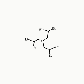 CCC([CH2][Al]([CH2]C(CC)C(C)C)[CH2]C(CC)C(C)C)C(C)C